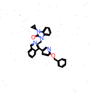 O=c1n(Cc2ncc3ccccc3c2-c2ccc(OCc3ccccc3)nc2)c2ccccc2n1C1CC1